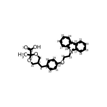 CC1(C(=O)O)OCC(Cc2ccc(OCCn3c4ccccc4c4ccccc43)cc2)CO1